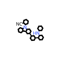 N#Cc1ccccc1-n1c2ccccc2c2cc(-c3cccc(-c4ccccc4Nc4ccccc4)c3)ccc21